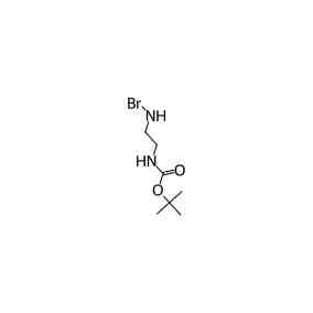 CC(C)(C)OC(=O)NCCNBr